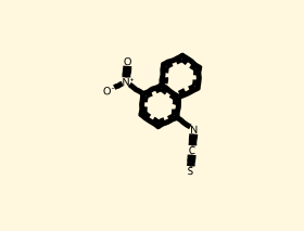 O=[N+]([O-])c1ccc(N=C=S)c2ccccc12